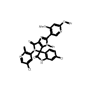 COc1cc(OC(C)C)ncc1-c1nc2c(n1C(C)C)C1(C(=O)Nc3cc(Cl)ccc31)N(c1cc(Cl)cnc1C)C2=O